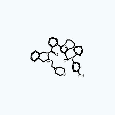 O=C(c1cc(-c2ccccc2C(=O)N2Cc3ccccc3C[C@H]2CCN2CCOCC2)n2c1CCCC2)N(c1ccccc1)c1ccc(O)cc1